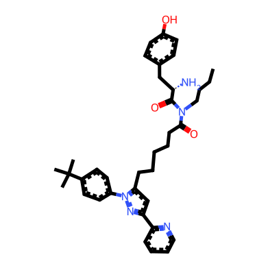 CCCCN(C(=O)CCCCCc1cc(-c2ccccn2)nn1-c1ccc(C(C)(C)C)cc1)C(=O)[C@@H](N)Cc1ccc(O)cc1